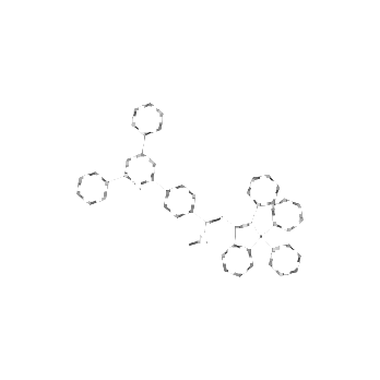 C=N/C(=C\C1=C(c2ccccc2)C(c2ccccc2)(c2ccccc2)c2ccccc21)c1ccc(-c2cc(-c3ccccc3)cc(-c3ccccc3)n2)cc1